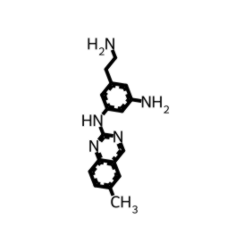 Cc1ccc2nc(Nc3cc(N)cc(CCN)c3)ncc2c1